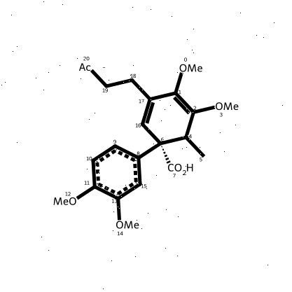 COC1=C(OC)C(C)[C@@](C(=O)O)(c2ccc(OC)c(OC)c2)C=C1CCC(C)=O